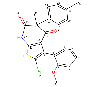 COc1ccccc1-c1c(Cl)sc2c1C(=O)C(C)(c1ccc(C)cc1)C(=O)N2